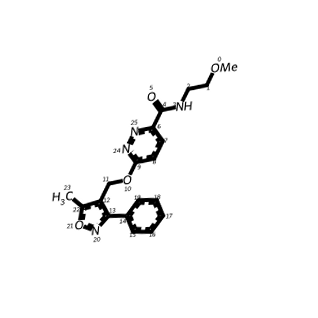 COCCNC(=O)c1ccc(OCc2c(-c3ccccc3)noc2C)nn1